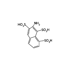 Nc1c(S(=O)(=O)O)cc2cccc(S(=O)(=O)O)c2c1S(=O)(=O)O